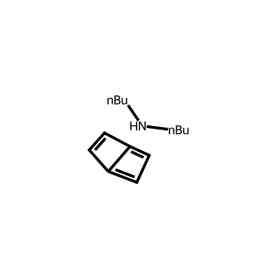 CCCCNCCCC.c1cc2ccc1-2